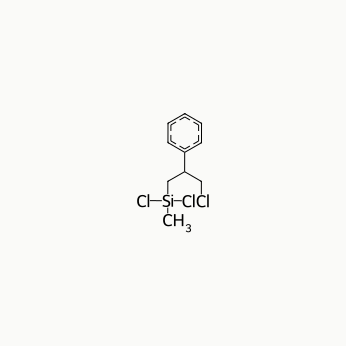 C[Si](Cl)(Cl)CC(CCl)c1ccccc1